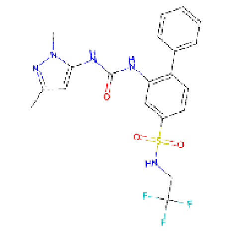 Cc1cc(NC(=O)Nc2cc(S(=O)(=O)NCC(F)(F)F)ccc2-c2ccccc2)n(C)n1